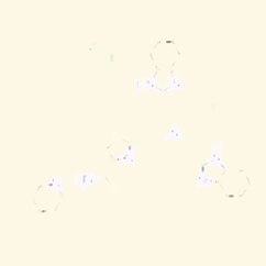 Cl.Cl.Cl.Cl.O=C(NCc1ncccc1F)c1coc(CCN(CCc2nc3ccccc3[nH]2)CCc2nc3ccccc3[nH]2)n1